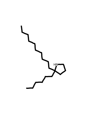 CCCCCCCCCCC1(CCCCCC)CCCN1